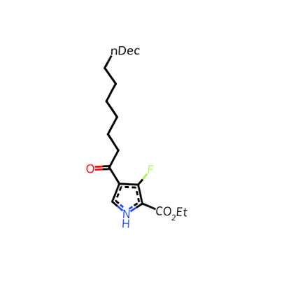 CCCCCCCCCCCCCCCCC(=O)c1c[nH]c(C(=O)OCC)c1F